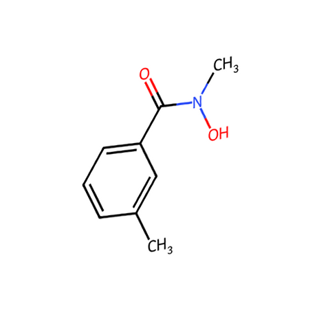 Cc1cccc(C(=O)N(C)O)c1